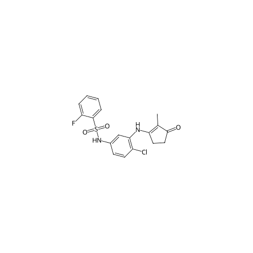 CC1=C(Nc2cc(NS(=O)(=O)c3ccccc3F)ccc2Cl)CCC1=O